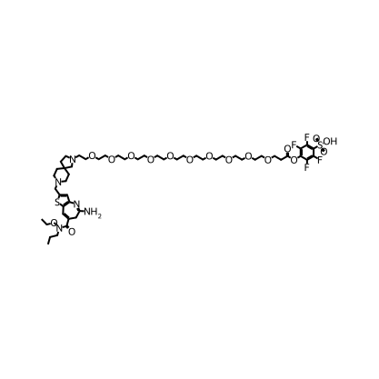 CCCN(OCC)C(=O)C1=Cc2sc(CN3CCC4(CC3)CCN(CCOCCOCCOCCOCCOCCOCCOCCOCCOCCOCCC(=O)Oc3c(F)c(F)c(S(=O)(=O)O)c(F)c3F)C4)cc2N=C(N)C1